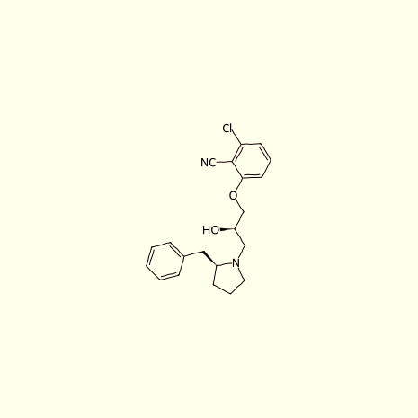 N#Cc1c(Cl)cccc1OC[C@H](O)CN1CCC[C@H]1Cc1ccccc1